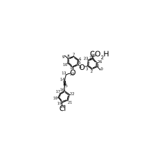 Cc1cc(Oc2ccc(C)cc2OCC#Cc2ccc(Cl)cc2)cc(C(=O)O)c1